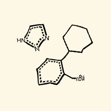 CCCCc1ccccc1C1CCCCC1.c1c[nH]nn1